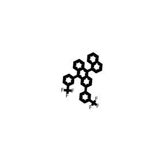 FC(F)(F)c1cccc(-c2ccc3c(-c4cccc5ccccc45)c4ccccc4c(-c4cccc(C(F)(F)F)c4)c3c2)c1